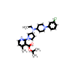 CCN(C1CCN(c2cccc(Cl)c2)CC1)[C@@H]1CCN(c2nccc(C)c2C(=O)OC(C)C)C1